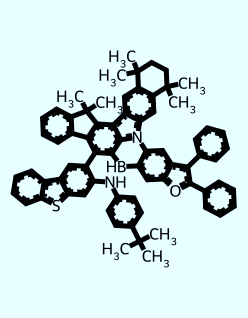 CC(C)(C)c1ccc(Nc2cc3sc4ccccc4c3cc2-c2c3c(c4c5cc6c(cc5n5c4c2Bc2cc4oc(-c7ccccc7)c(-c7ccccc7)c4cc2-5)C(C)(C)CCC6(C)C)C(C)(C)c2ccccc2-3)cc1